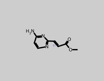 COC(=O)/C=C/c1nccc(N)n1